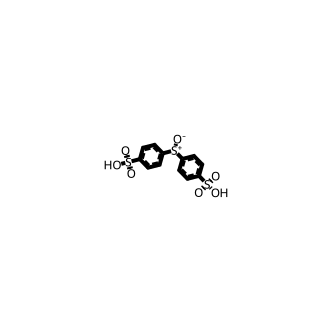 O=S(=O)(O)c1ccc([S+]([O-])c2ccc(S(=O)(=O)O)cc2)cc1